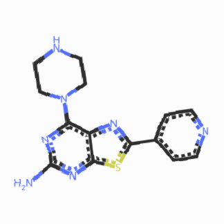 Nc1nc(N2CCNCC2)c2nc(-c3ccncc3)sc2n1